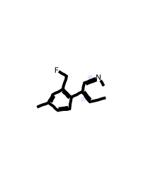 C/C=C(\C=N/C)c1ccc(C)cc1CF